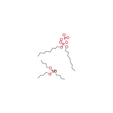 CCCCCCCCOP(=O)(OCCCCCCCC)OP(=O)([O-])[O-].CCCC[O][Ti+2]([O]CCCC)[O]CCCC